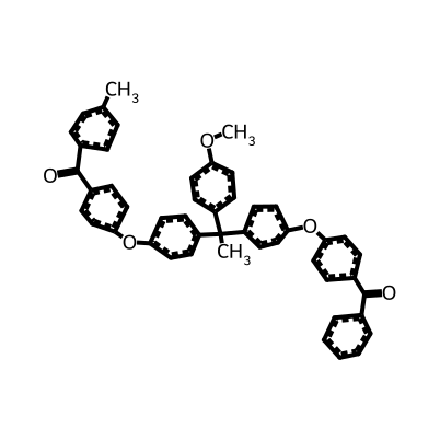 COc1ccc(C(C)(c2ccc(Oc3ccc(C(=O)c4ccccc4)cc3)cc2)c2ccc(Oc3ccc(C(=O)c4ccc(C)cc4)cc3)cc2)cc1